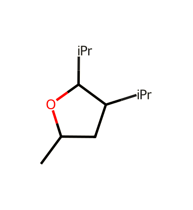 CC1CC(C(C)C)C(C(C)C)O1